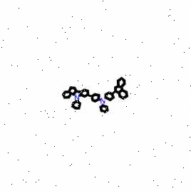 c1ccc(N(c2ccc(-c3ccc4c5ccc6ccccc6c5n(-c5ccccc5)c4c3)cc2)c2ccc(-c3cc4ccccc4c4ccccc34)cc2)cc1